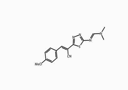 COc1ccc(/C=C(\C#N)c2nnc(/N=C/N(C)C)s2)cc1